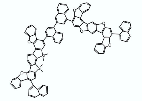 C[Si]1(C)c2cc(-c3cccc4ccccc34)c3c(oc4ccccc43)c2-c2ccc3c(c21)[Si](C)(C)c1cc(-c2ccc(-c4cc(-c5cc6oc7cc8c(cc7c6c6c5oc5ccccc56)oc5cc(-c6cccc7ccccc67)c6oc7ccccc7c6c58)c5ccccc5c4)c4ccccc24)c2c(oc4ccccc42)c1-3